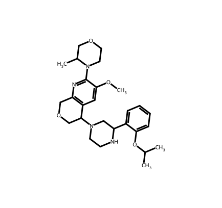 COc1cc2c(nc1N1CCOCC1C)COCC2N1CCNC(c2ccccc2OC(C)C)C1